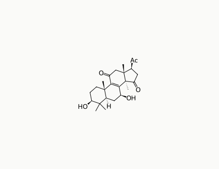 CC(=O)[C@H]1CC(=O)[C@@]2(C)C3=C(C(=O)C[C@]12C)[C@@]1(C)CC[C@H](O)C(C)(C)[C@@H]1C[C@@H]3O